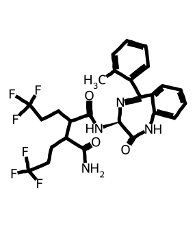 Cc1ccccc1C1=N[C@H](NC(=O)C(CCC(F)(F)F)C(CCC(F)(F)F)C(N)=O)C(=O)Nc2ccccc21